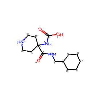 O=C(O)NC1(C(=O)NCC2CCCCC2)CCNCC1